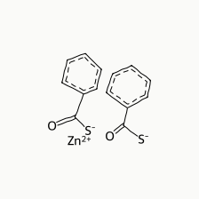 O=C([S-])c1ccccc1.O=C([S-])c1ccccc1.[Zn+2]